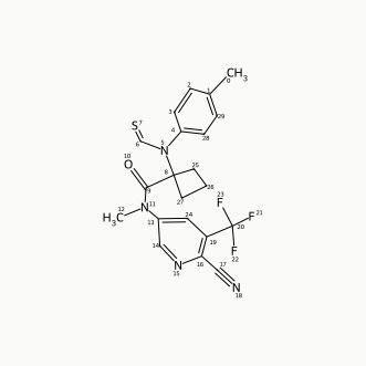 Cc1ccc(N(C=S)C2(C(=O)N(C)c3cnc(C#N)c(C(F)(F)F)c3)CCC2)cc1